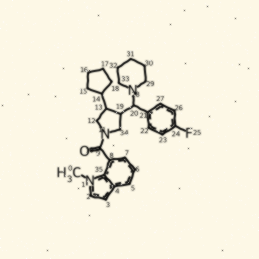 Cn1ccc2cccc(C(=O)N3CC(C4CCCC4)C(C(c4ccc(F)cc4)N4CCCCC4)C3)c21